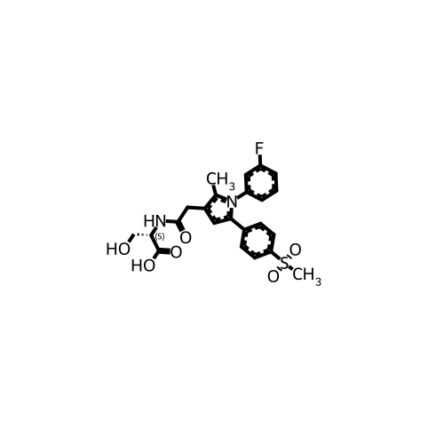 Cc1c(CC(=O)N[C@@H](CO)C(=O)O)cc(-c2ccc(S(C)(=O)=O)cc2)n1-c1cccc(F)c1